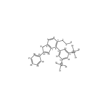 CCCc1ccc2c(c1-c1cc([Si](C)(C)C)cc([Si](C)(C)C)c1)C=C(c1ccccc1)[CH]2